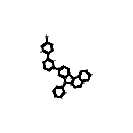 Brc1ccc(-c2cccc(-c3ccc4c(c3)C(c3ccccc3)c3ccc5ccccc5c3-4)c2)cc1